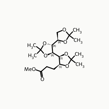 COC(=O)CC[C@@H]1OC(C)(C)O[C@@H]1[C@H]1OC(C)(C)O[C@@H]1[C@H]1COC(C)(C)O1